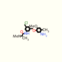 CNC(C)C(=O)Nc1cc(CCl)cc(COc2cc(N)c(C)cc2OC)c1